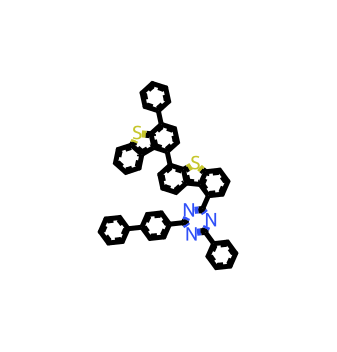 c1ccc(-c2ccc(-c3nc(-c4ccccc4)nc(-c4cccc5sc6c(-c7ccc(-c8ccccc8)c8sc9ccccc9c78)cccc6c45)n3)cc2)cc1